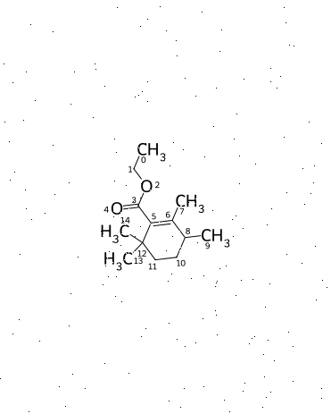 CCOC(=O)C1=C(C)C(C)CCC1(C)C